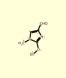 CCOc1nc(C=O)cn1C